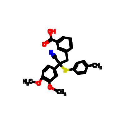 COc1ccc(C(C#N)(Cc2cccc(C(=O)O)c2)Sc2ccc(C)cc2)cc1OC